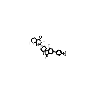 CN(C)c1ccc(-c2cc(F)c3c(c2)C(=O)OC32CCN(c3nc4c(c(=O)[nH]3)CCCN4)CC2)cc1